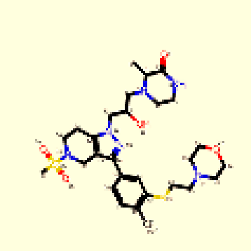 CC1C(=O)NCCN1CC(O)Cn1nc(-c2ccc(C(F)(F)F)c(SCCN3CCOCC3)c2)c2c1CCN(S(C)(=O)=O)C2